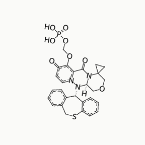 O=C1c2c(OCOP(=O)(O)O)c(=O)ccn2N([C@H]2c3ccccc3CSc3ccccc32)[C@@H]2COCC3(CC3)N12